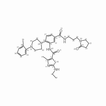 CCNc1nc(C)c(C(=O)Nc2cc(C(=O)NCCCN3CCCC3=O)ccc2N2CCN(c3ccccc3C)CC2)s1